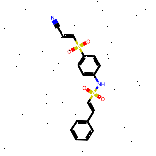 N#C/C=C/S(=O)(=O)c1ccc(NS(=O)(=O)/C=C/c2ccccc2)cc1